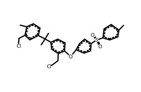 Cc1ccc(S(=O)(=O)c2ccc(Oc3ccc(C(C)(C)c4ccc(C)c(CCl)c4)cc3CCl)cc2)cc1